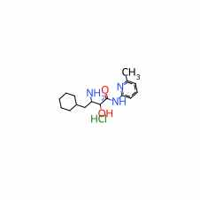 Cc1cccc(NC(=O)C(O)[C@H](N)CC2CCCCC2)n1.Cl